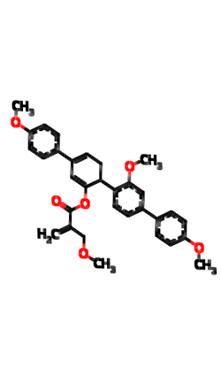 C=C(COC)C(=O)OC1=CC(c2ccc(OC)cc2)=CCC1c1ccc(-c2ccc(OC)cc2)cc1OC